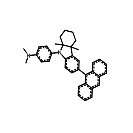 CN(C)c1ccc(N2c3ccc(-c4c5ccccc5cc5ccccc45)cc3C3(C)CCCCC23C)cc1